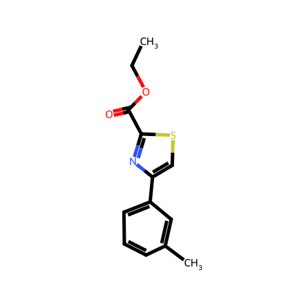 CCOC(=O)c1nc(-c2cccc(C)c2)cs1